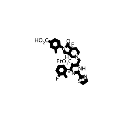 CCOC(=O)C1=C(CN2CC[C@]3(F)C(=O)N(c4ccc(C(=O)O)cc4C)C[C@@H]3C2)NC(c2nccs2)=N[C@H]1c1cccc(F)c1C